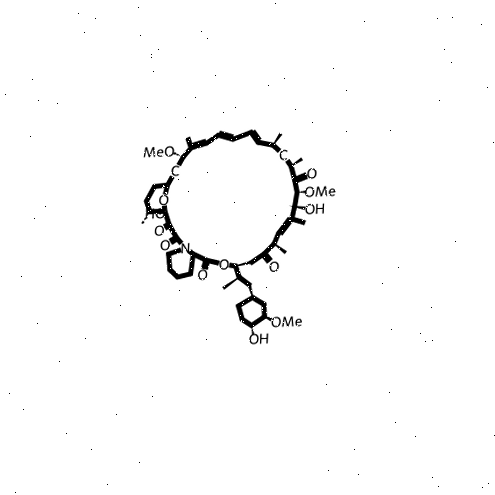 CO[C@H]1CC2CC[C@@H](C)[C@@](O)(O2)C(=O)C(=O)N2CCCCC2C(=O)O[C@H]([C@H](C)C[C@@H]2CC[C@@H](O)[C@H](OC)C2)CC(=O)[C@H](C)/C=C(\C)[C@H](O)[C@@H](OC)C(=O)[C@H](C)C[C@H](C)/C=C/C=C/C=C/1C